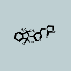 CC1(C)c2ccccc2C(Cl)(C=O)N1c1cncc(CN2CCNC2=O)c1